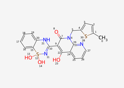 Cc1ccc(Cn2c(=O)c(C3=NS(O)(O)c4ccccc4N3)c(O)c3cccnc32)s1